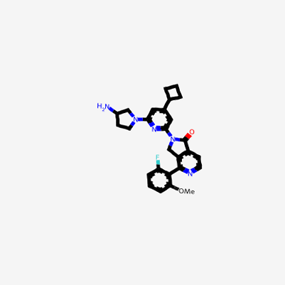 COc1cccc(F)c1-c1nccc2c1CN(c1cc(C3CCC3)cc(N3CCC(N)C3)n1)C2=O